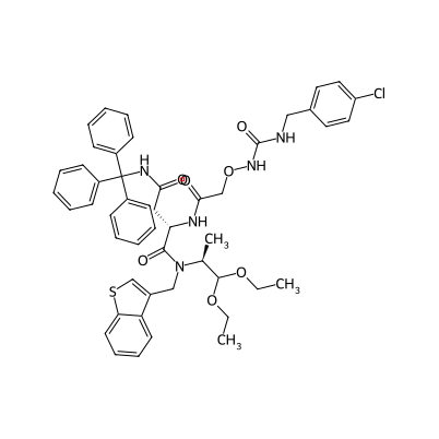 CCOC(OCC)[C@H](C)N(Cc1csc2ccccc12)C(=O)[C@H](CC(=O)NC(c1ccccc1)(c1ccccc1)c1ccccc1)NC(=O)CONC(=O)NCc1ccc(Cl)cc1